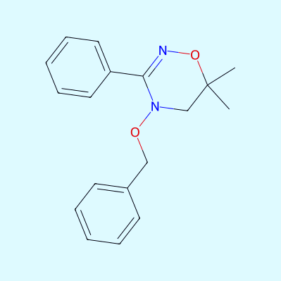 CC1(C)CN(OCc2ccccc2)C(c2ccccc2)=NO1